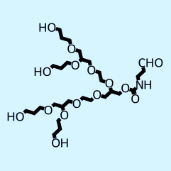 O=CCCNC(=O)OCC(COCCOCC(COCCCO)OCCCO)OCCOCC(COCCCO)OCCCO